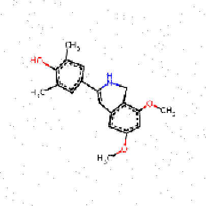 COc1cc2c(c(OC)c1)CNC(c1cc(C)c(O)c(C)c1)=C2